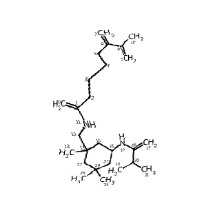 C=C(CCCCC(=C)C(=C)C)NCC1(C)CC(NC(=C)C(C)C)CC(C)(C)C1